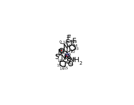 CCN1C(=O)/C(=N\N(C(N)=S)c2ccccc2S(N)(=O)=O)c2cccc(C(F)(F)F)c21